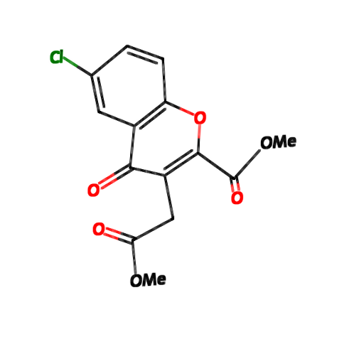 COC(=O)Cc1c(C(=O)OC)oc2ccc(Cl)cc2c1=O